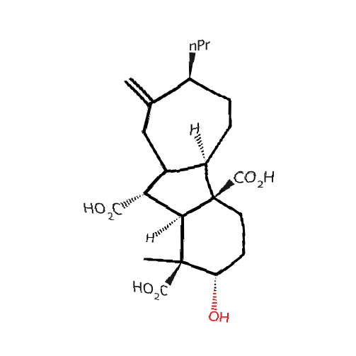 C=C1CC2[C@@H](C(=O)O)[C@@H]3[C@](C)(C(=O)O)[C@@H](O)CC[C@@]3(C(=O)O)[C@@H]2CC[C@@H]1CCC